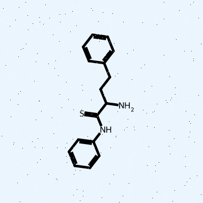 NC(CCc1ccccc1)C(=S)Nc1ccccc1